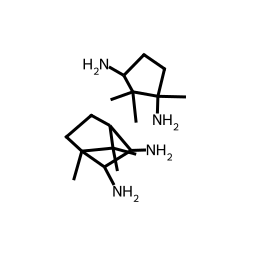 CC1(C)C2CCC1(C)C(N)C2N.CC1(N)CCC(N)C1(C)C